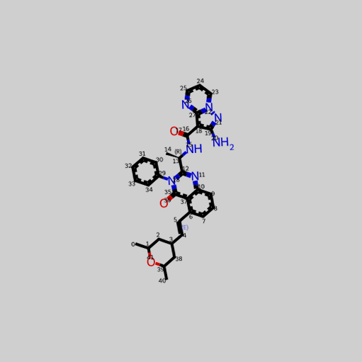 CC1CC(/C=C/c2cccc3nc([C@@H](C)NC(=O)c4c(N)nn5cccnc45)n(-c4ccccc4)c(=O)c23)CC(C)O1